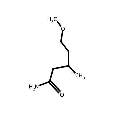 COCCC(C)CC(N)=O